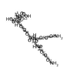 CC(C)[C@H](NC(=O)[C@@H]1CCCN1C(=O)[C@H](CC(=O)O)NC(=O)CCOCCOCCOCCNC(=O)[C@H](CCCCNC(=O)CCOCCOCCOCCN)NC(=O)CCOCCOCCOCCN)C(=O)O